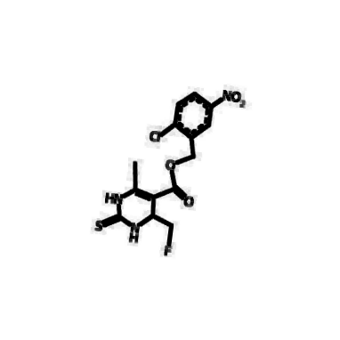 CC1=C(C(=O)OCc2cc([N+](=O)[O-])ccc2Cl)C(CF)NC(=S)N1